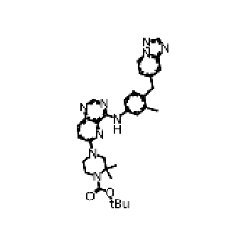 Cc1cc(Nc2ncnc3ccc(N4CCN(C(=O)OC(C)(C)C)C(C)(C)C4)nc23)ccc1Cc1ccn2ncnc2c1